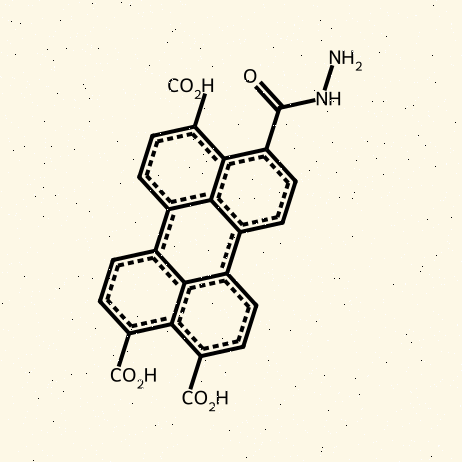 NNC(=O)c1ccc2c3ccc(C(=O)O)c4c(C(=O)O)ccc(c5ccc(C(=O)O)c1c52)c43